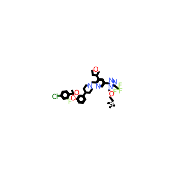 CC1(c2ccc(Cl)cc2F)Oc2cccc(C3CCN(Cc4ncc(-c5nnc(C(F)(F)F)n5COCC[Si](C)(C)C)cc4C4CCOC4)CC3)c2O1